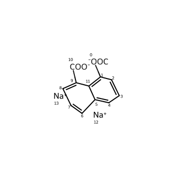 O=C([O-])c1cccc2cccc(C(=O)[O-])c12.[Na+].[Na+]